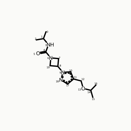 CC(C)NC(=O)N1CC(n2cc(COC(C)C)cn2)C1